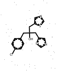 OC(Cc1ccc(Cl)cc1)(Cc1cncs1)Cc1cncs1